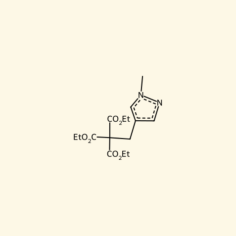 CCOC(=O)C(Cc1cnn(C)c1)(C(=O)OCC)C(=O)OCC